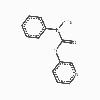 CN(C(=O)Oc1cccnc1)c1ccccc1